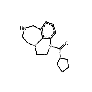 O=C(C1CCCC1)N1CCN2CCNCc3cccc1c32